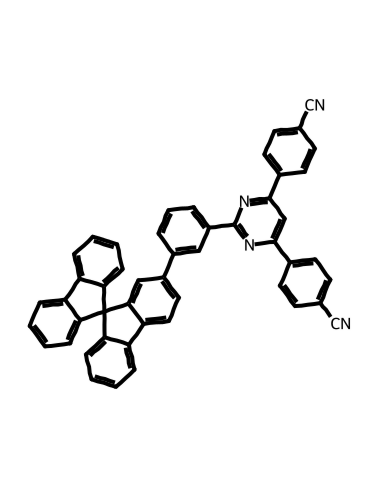 N#Cc1ccc(-c2cc(-c3ccc(C#N)cc3)nc(-c3cccc(-c4ccc5c(c4)C4(c6ccccc6-c6ccccc64)c4ccccc4-5)c3)n2)cc1